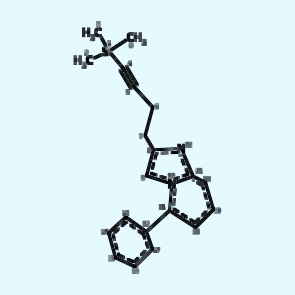 C[Si](C)(C)C#CCCc1cn2c(-c3ccccc3)cccc2n1